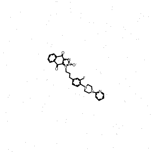 O=C1c2ccccc2C(=O)c2c1n[n+]([O-])n2CCCc1ccc(N2CCN(c3ccccn3)CC2)c(F)c1